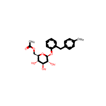 COC(=O)OC[C@H]1O[C@@H](Oc2ccccc2Cc2ccc(OC)cc2)[C@H](O)[C@@H](O)[C@@H]1O